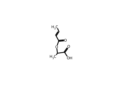 CC=CC(=O)OC(C)C(=O)O